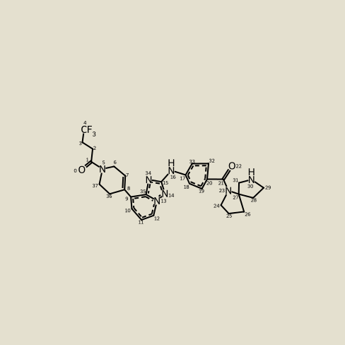 O=C(CCC(F)(F)F)N1CC=C(c2cccn3nc(Nc4ccc(C(=O)N5CCCC56CCNC6)cc4)nc23)CC1